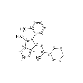 CC1=C(c2ccccc2C)C(CC(O)C2CCCCC2)n2cncc21